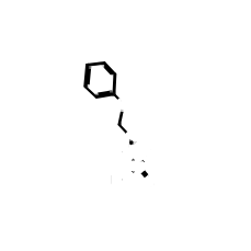 OP(O)(=S)OOCSc1ccccc1